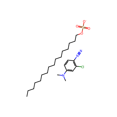 CCCCCCCCCCCCCCCCOS(=O)(=O)[O-].CN(C)c1ccc([N+]#N)c(Cl)c1